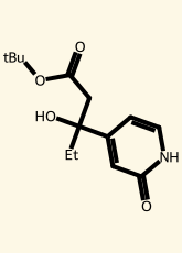 CCC(O)(CC(=O)OC(C)(C)C)c1cc[nH]c(=O)c1